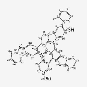 Cc1ccccc1-c1cc2c3ccc4c5c3n(c2cc1S)-c1cc2c(cc1B5N(c1ccc(C(C)(C)C)cc1)c1cc3c(cc1-4)sc1ccccc13)sc1ccccc12